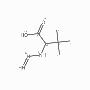 CC(C)(C)C(NN=N)C(=O)O